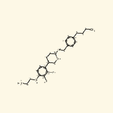 CCCCc1ccc(COC2CCC(c3ccc(OCCC)c(F)c3F)CO2)cc1